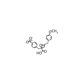 COc1ccc(CCC[C@@](O)(Cc2ccc([N+](=O)[O-])cc2)C(=O)O)cc1